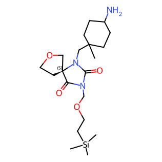 CC1(CN2C(=O)N(COCC[Si](C)(C)C)C(=O)[C@@]23CCOC3)CCC(N)CC1